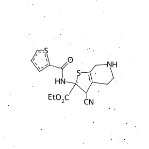 CCOC(=O)C1(NC(=O)c2cccs2)SC2=C(CCNC2)C1C#N